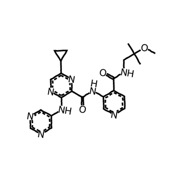 COC(C)(C)CNC(=O)c1ccncc1NC(=O)c1nc(C2CC2)cnc1Nc1cncnc1